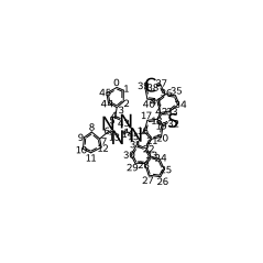 c1ccc(-c2nc(-c3ccccc3)nc(-n3c4cc5c(cc4c4c6ccccc6ccc43)sc3ccc4ccccc4c35)n2)cc1